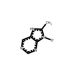 Cc1[nH]c2cncnc2[n+]1[O-]